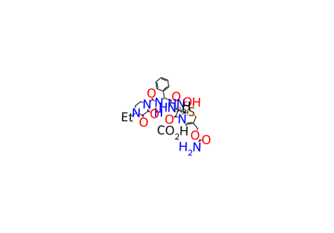 CCN1CCN(C(=O)NC(C(=O)N[C@]2(NO)C(=O)N3C(C(=O)O)=C(COC(N)=O)CS[C@@H]32)c2ccccc2)C(=O)C1=O